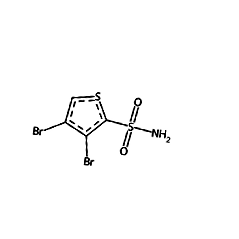 NS(=O)(=O)c1scc(Br)c1Br